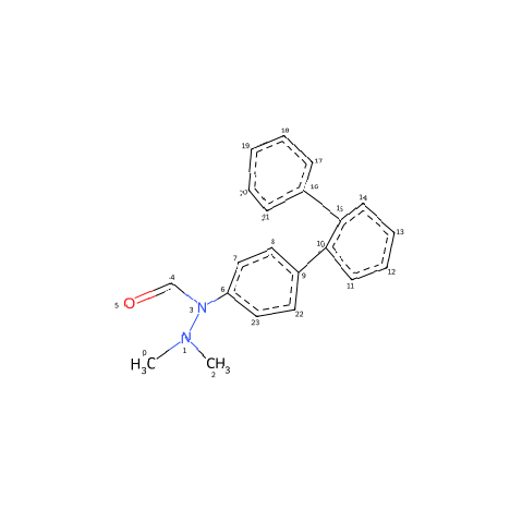 CN(C)N(C=O)c1ccc(-c2ccccc2-c2ccccc2)cc1